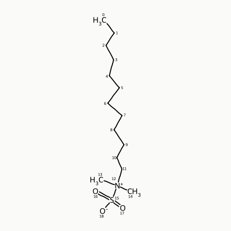 CCCCCCCCCCCC[N+](C)(C)S(=O)(=O)[O-]